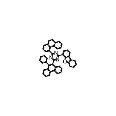 c1ccc(-c2c(-c3nc(-c4cccc5c4oc4ccccc45)nc(-c4cccc5ccc6ccccc6c45)n3)c3ccccc3c3ccccc23)cc1